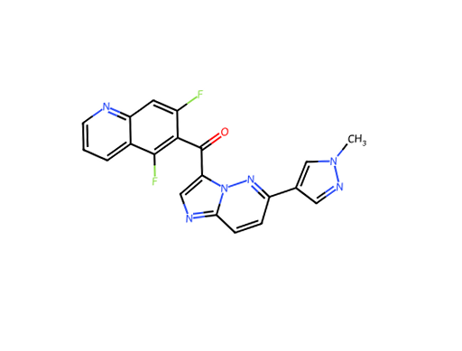 Cn1cc(-c2ccc3ncc(C(=O)c4c(F)cc5ncccc5c4F)n3n2)cn1